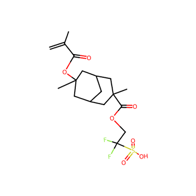 C=C(C)C(=O)OC1(C)CC2CC(C1)CC(C)(C(=O)OCC(F)(F)S(=O)(=O)O)C2